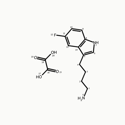 NCCCCc1c[nH]c2ccc(F)cc12.O=C(O)C(=O)O